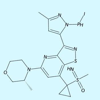 Cc1cc(-c2nsc3c(C4(S(C)(=N)=O)CC4)cc(N4CCOC[C@H]4C)nc23)n(PI)n1